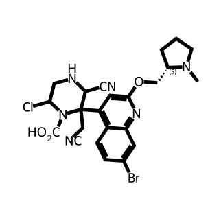 CN1CCC[C@H]1COc1cc(C2(CC#N)C(C#N)NCC(Cl)N2C(=O)O)c2ccc(Br)cc2n1